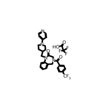 O=C(O)C(F)(F)F.O=C(c1ccc(C(F)(F)F)cc1)N1CC(=O)N(CC2CCN(c3ccncc3)CC2)c2ccccc2C1